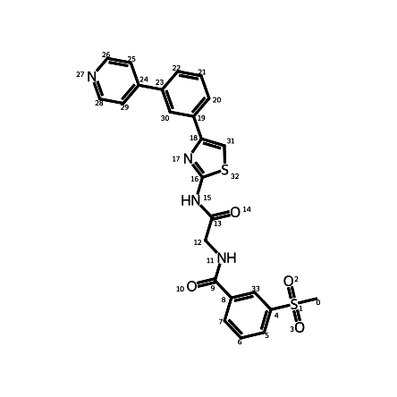 CS(=O)(=O)c1cccc(C(=O)NCC(=O)Nc2nc(-c3cccc(-c4ccncc4)c3)cs2)c1